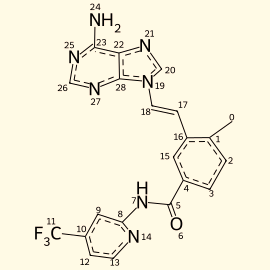 Cc1ccc(C(=O)Nc2cc(C(F)(F)F)ccn2)cc1C=Cn1cnc2c(N)ncnc21